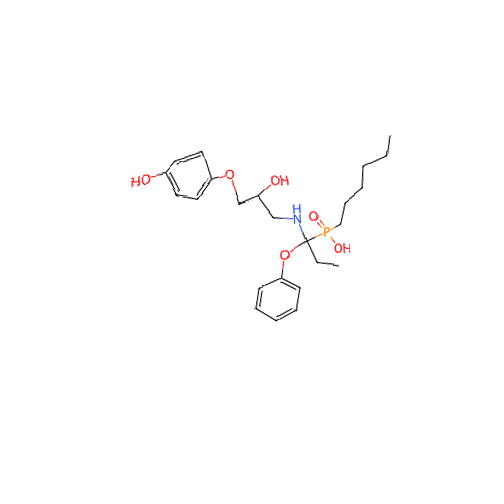 CCCCCCP(=O)(O)C(CC)(NCC(O)COc1ccc(O)cc1)Oc1ccccc1